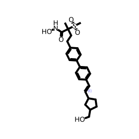 CC(CCc1ccc(-c2ccc(/C=C/C3CCC(CO)C3)cc2)cc1)(C(=O)NO)S(C)(=O)=O